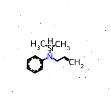 C=CCN(c1ccccc1)[SiH](C)C